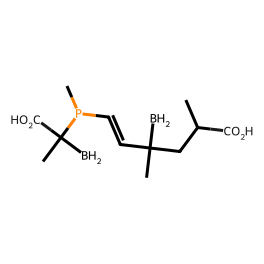 BC(C)(/C=C/P(C)C(B)(C)C(=O)O)CC(C)C(=O)O